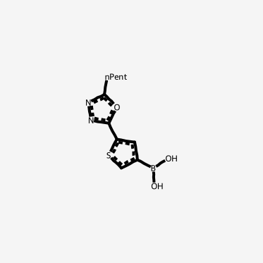 CCCCCc1nnc(-c2cc(B(O)O)cs2)o1